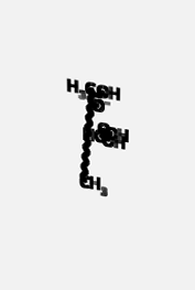 CCCCCCCCCCCCCCCC[S+]([O-])CC(C)CO.O=P(O)(O)O